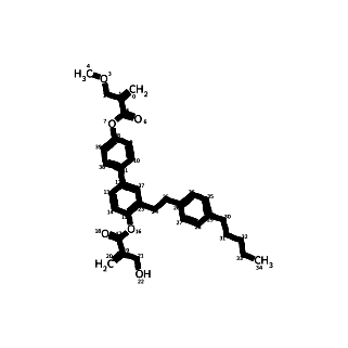 C=C(COC)C(=O)Oc1ccc(-c2ccc(OC(=O)C(=C)CO)c(CCc3ccc(CCCCC)cc3)c2)cc1